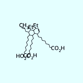 CC=CCC1C(CCCCCCCC(=O)O)C(CCCCCCCC(=O)O)C2C(CCCCCCCC(=O)O)C=CC(CC)C2C1CC